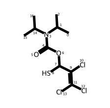 CC(C)N(C(=O)OC(S)C(Cl)=C(Cl)Cl)C(C)C